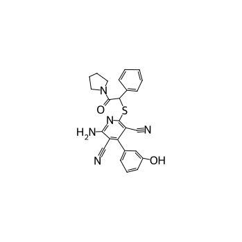 N#Cc1c(N)nc(SC(C(=O)N2CCCC2)c2ccccc2)c(C#N)c1-c1cccc(O)c1